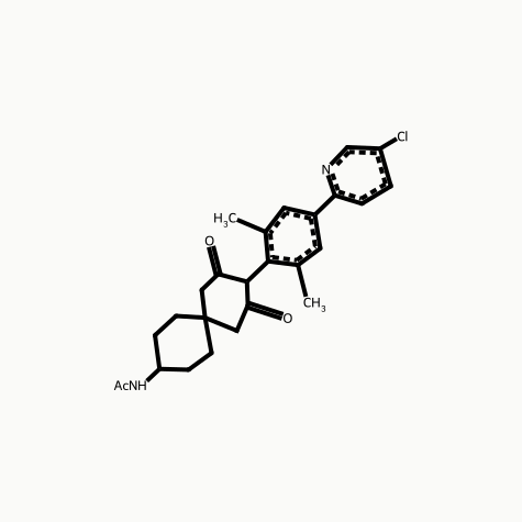 CC(=O)NC1CCC2(CC1)CC(=O)C(c1c(C)cc(-c3ccc(Cl)cn3)cc1C)C(=O)C2